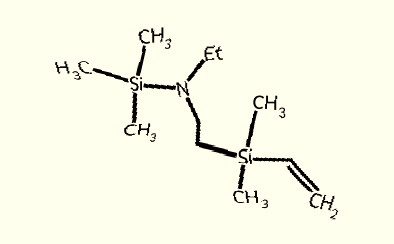 C=C[Si](C)(C)CN(CC)[Si](C)(C)C